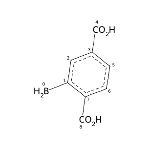 Bc1cc(C(=O)O)ccc1C(=O)O